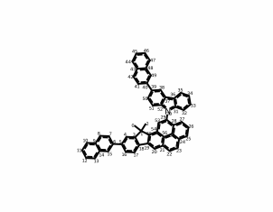 CC1(C)c2cc(-c3ccc4ccccc4c3)ccc2-c2cc3ccc4cccc5c(-n6c7ccccc7c7cc(-c8ccc9ccccc9c8)ccc76)cc(c21)c3c45